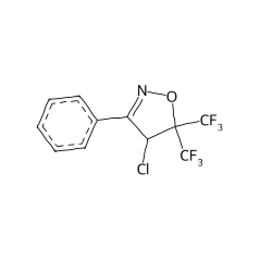 FC(F)(F)C1(C(F)(F)F)ON=C(c2ccccc2)C1Cl